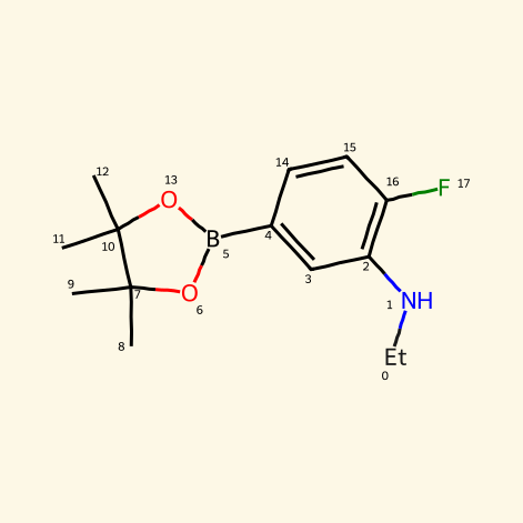 CCNc1cc(B2OC(C)(C)C(C)(C)O2)ccc1F